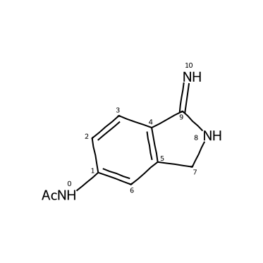 CC(=O)Nc1ccc2c(c1)CNC2=N